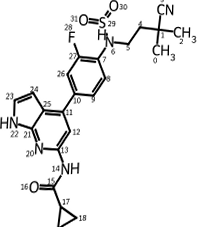 CC(C)(C#N)CCN(c1ccc(-c2cc(NC(=O)C3CC3)nc3[nH]ccc23)cc1F)[SH](=O)=O